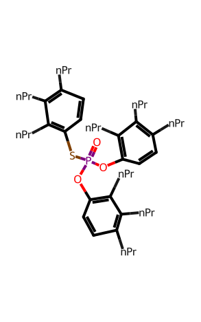 CCCc1ccc(OP(=O)(Oc2ccc(CCC)c(CCC)c2CCC)Sc2ccc(CCC)c(CCC)c2CCC)c(CCC)c1CCC